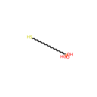 O=P(O)(O)CCCCCCCCCCCCCCCCCCCCCCS